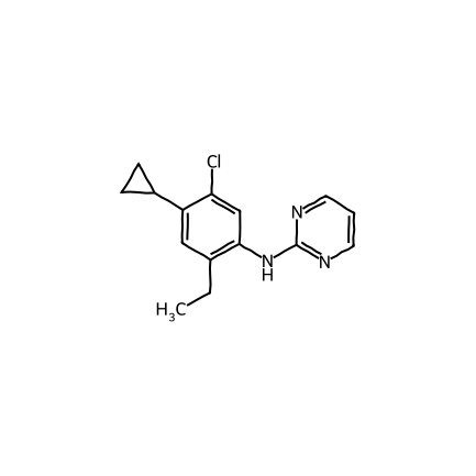 CCc1cc(C2CC2)c(Cl)cc1Nc1ncccn1